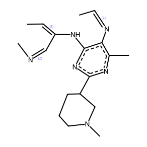 C/C=N\c1c(C)nc(C2CCCN(C)C2)nc1NC(/C=N\C)=C/C